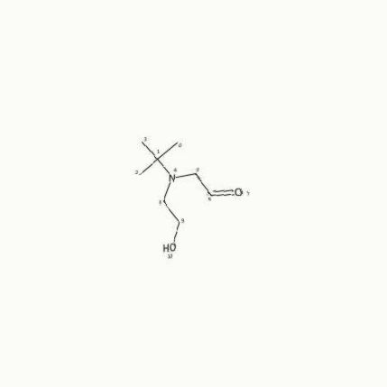 CC(C)(C)N(C[C]=O)CCO